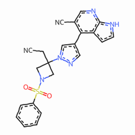 N#CCC1(n2cc(-c3c(C#N)cnc4[nH]ccc34)cn2)CN(S(=O)(=O)c2ccccc2)C1